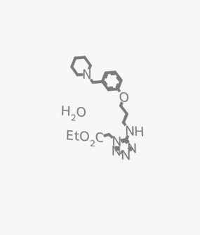 CCOC(=O)Cn1nnnc1NCCCOc1cccc(CN2CCCCC2)c1.O